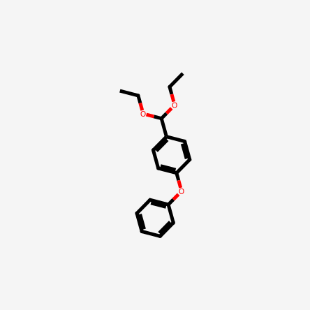 CCOC(OCC)c1ccc(Oc2ccccc2)cc1